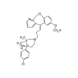 CC1(C)CN(CCC=C2c3cc(OC(=O)O)ccc3OCc3ncccc32)CC[C@]1(O)c1ccc(Cl)cc1